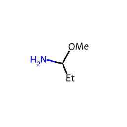 CCC(N)OC